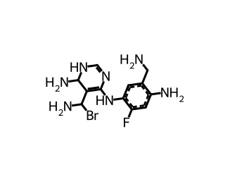 NCc1cc(NC2=C(C(N)Br)C(N)NC=N2)c(F)cc1N